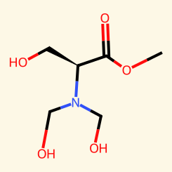 COC(=O)[C@H](CO)N(CO)CO